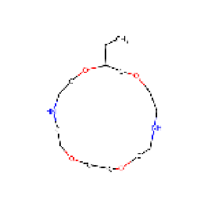 CCC1COCCNCCOCCOCCNCCO1